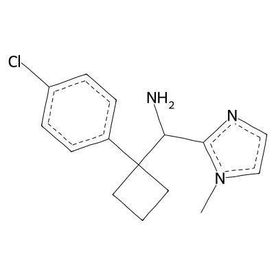 Cn1ccnc1C(N)C1(c2ccc(Cl)cc2)CCC1